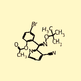 CC(=O)Oc1ccc(Br)cc1C(=NOC(C)(C)C)c1ncccc1C#N